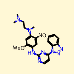 COc1cc(N(C)CCN(C)C)c([N+](=O)[O-])cc1Nc1nccc(-n2nnc3ccccc32)n1